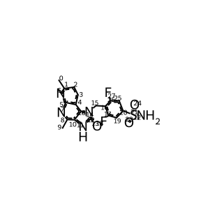 Cc1ccc2c(n1)nc(C)c1[nH]c(=O)n(Cc3c(F)cc(S(N)(=O)=O)cc3F)c12